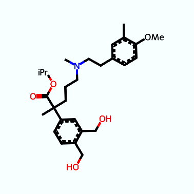 COc1ccc(CCN(C)CCCC(C)(C(=O)OC(C)C)c2ccc(CO)c(CO)c2)cc1C